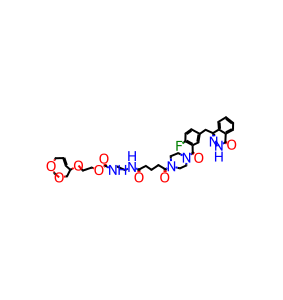 O=C(CCCC(=O)N1CCN(C(=O)c2cc(Cc3n[nH]c(=O)c4ccccc34)ccc2F)CC1)NCCNC(=O)OCCOC1/C=C/COCOC1